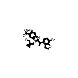 COC(=O)c1ccc2nc(C(C)c3ccc(Br)c4c3CCO4)n(CC3(CF)CC3)c2c1